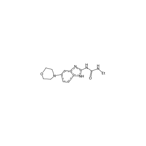 CCNC(=O)Nc1nc2cc(N3CCOCC3)ccc2[nH]1